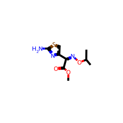 COC(=O)C(=NOC(C)C)c1csc(N)n1